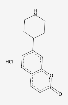 Cl.O=c1ccc2ccc(C3CCNCC3)cc2o1